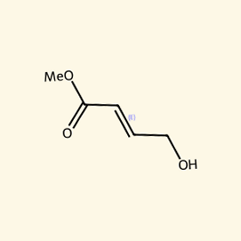 COC(=O)/C=C/CO